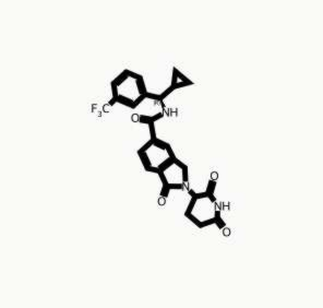 O=C1CCC(N2Cc3cc(C(=O)N[C@@H](c4cccc(C(F)(F)F)c4)C4CC4)ccc3C2=O)C(=O)N1